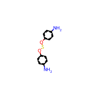 Nc1ccc(OSOc2ccc(N)cc2)cc1